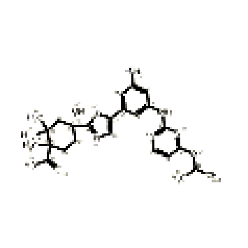 Cc1cc(Nc2nccc(OC(C)C)n2)cc(-c2cnc([C@@]3(O)CC[C@](C)(C(=O)O)C(C)(C)C3)s2)c1